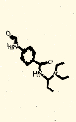 CCC(NC(=O)c1ccc(N[C]=O)cc1)N(CC)CC